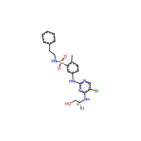 CC[C@H](CO)Nc1nc(Nc2ccc(C)c(S(=O)(=O)NCCc3ccccc3)c2)ncc1Br